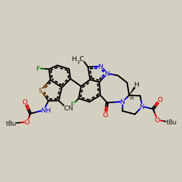 Cc1nn2c3c(cc(F)c(-c4ccc(F)c5sc(NC(=O)OC(C)(C)C)c(C#N)c45)c13)C(=O)N1CCN(C(=O)OC(C)(C)C)C[C@H]1CC2